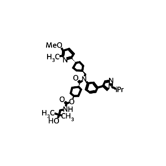 COc1ccc([C@H]2CC[C@H](CN(c3cccc(-c4cnn(C(C)C)c4)c3)C(=O)[C@H]3CC[C@H](OC(=O)NCC(C)(C)O)CC3)CC2)nc1C